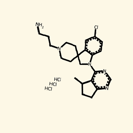 CC1CCc2ncnc(N3CC4(CCN(CCCN)CC4)c4cc(Cl)ccc43)c21.Cl.Cl.Cl